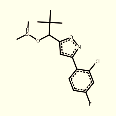 C[SiH](C)OC(c1cc(-c2ccc(F)cc2Cl)no1)C(C)(C)C